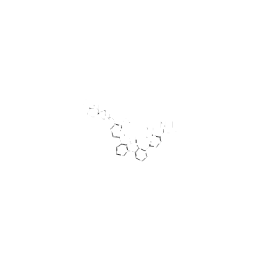 COc1nc(-c2cccc(-c3cccc(-c4ccc([C@H](C)N)c(OC)n4)c3Cl)c2Cl)ccc1CN1CC2(CCC(=O)N2)C1